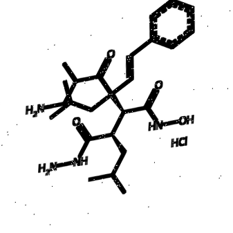 CC(C)C[C@@H](C(=O)NN)[C@H](C(=O)NO)C(/C=C/c1ccccc1)(CC(C)C)C(=O)C(C)CN.Cl